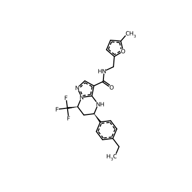 CCc1ccc([C@H]2C[C@@H](C(F)(F)F)n3ncc(C(=O)NCc4ccc(C)o4)c3N2)cc1